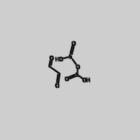 O=CC=O.O=S(O)OS(=O)O